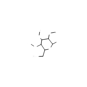 CCC1OC(COC)C(OC(C)C)C(OC(C)C)C1OC(C)C